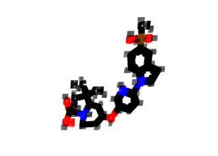 CC(C)(C)C1CC(Oc2ccc(-n3ccc4cc(S(C)(=O)=O)ccc43)nc2)CCN1C(=O)O